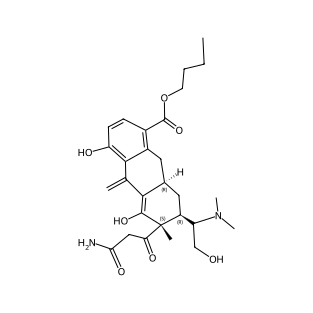 C=C1C2=C(O)[C@@](C)(C(=O)CC(N)=O)[C@H](C(CO)N(C)C)C[C@@H]2Cc2c(C(=O)OCCCC)ccc(O)c21